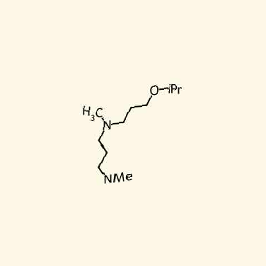 CNCCCN(C)CCCOC(C)C